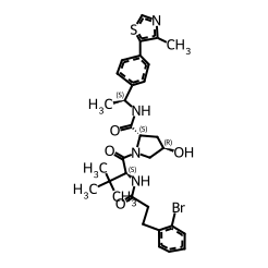 Cc1ncsc1-c1ccc([C@H](C)NC(=O)[C@@H]2C[C@@H](O)CN2C(=O)[C@@H](NC(=O)CCc2ccccc2Br)C(C)(C)C)cc1